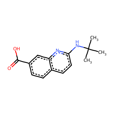 CC(C)(C)Nc1ccc2ccc(C(=O)O)cc2n1